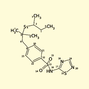 CCC(C)SC(C)(C)Cc1ccc(S(=O)(=O)Nc2ncns2)cc1